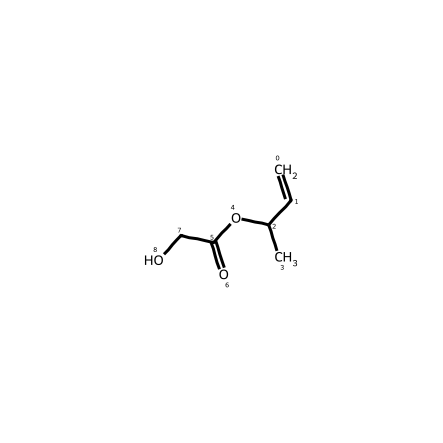 C=CC(C)OC(=O)CO